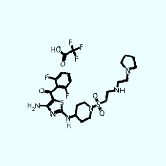 Nc1nc(NC2CCN(S(=O)(=O)CCNCCN3CCCC3)CC2)sc1C(=O)c1c(F)cccc1F.O=C(O)C(F)(F)F